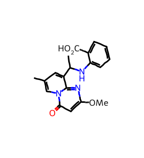 COc1cc(=O)n2cc(C)cc(C(C)Nc3ccccc3C(=O)O)c2n1